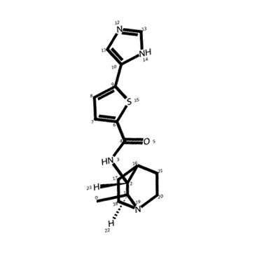 C[C@H]1[C@H](NC(=O)c2ccc(-c3cnc[nH]3)s2)C2CCN1CC2